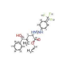 C=C(CC(NNc1ccc(C(F)(F)F)cc1)C(=O)OCC)C(O)c1ccccc1